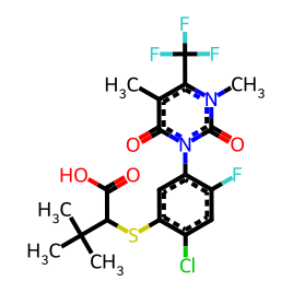 Cc1c(C(F)(F)F)n(C)c(=O)n(-c2cc(SC(C(=O)O)C(C)(C)C)c(Cl)cc2F)c1=O